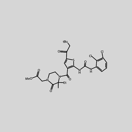 CCC1(C)C(=O)N(CC(=O)OC)CCN1C(=O)c1cc(C(=O)CC(C)(C)C)sc1NC(=O)Nc1cccc(Cl)c1Cl